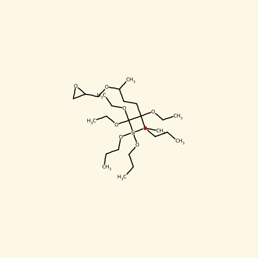 CCCO[Si](OCCC)(OCCC)C(OCC)(OCC)C(CC)(CCC(C)OCC1CO1)OCC